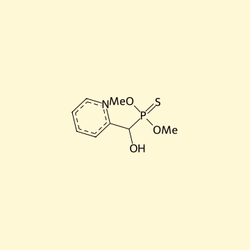 COP(=S)(OC)C(O)c1ccccn1